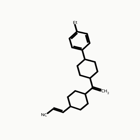 C=C(C1CCC(C=CC#N)CC1)C1CCC(c2ccc(CC)cc2)CC1